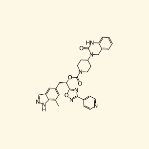 Cc1cc(C[C@@H](OC(=O)N2CCC(N3Cc4ccccc4NC3=O)CC2)c2nc(-c3ccncc3)no2)cc2cn[nH]c12